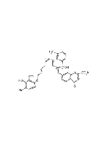 CCCc1c(OCCCC/C=C\C=C[C@H](Sc2ccc3c(=O)cc(C(=O)O)oc3c2)[C@H](O)c2cccc(C(F)(F)F)c2)ccc(C(C)=O)c1O